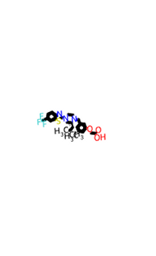 Cc1cc(CN2CCN(c3nc4ccc(C(F)(F)F)cc4s3)C[C@@H]2CC(C)C)cc(OCC(=O)O)c1